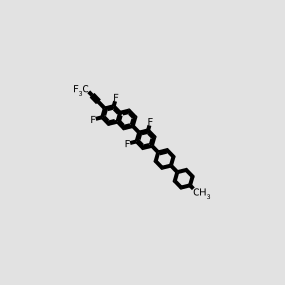 CC1CCC(C2CC=C(c3cc(F)c(-c4ccc5c(F)c(C#CC(F)(F)F)c(F)cc5c4)c(F)c3)CC2)CC1